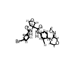 CO/N=C1/COCCN1c1ccc(NC(=O)C2(NC(=O)c3ccc(Br)s3)CCOC2)cc1C